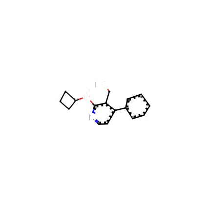 OCc1c(-c2ccccc2)ccnc1OC1CCC1